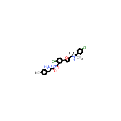 CC(C)(NCc1ccc(-c2ccc(Cl)c(C(=O)NC(=O)[C@H](N)Cc3ccc(C#N)cc3)c2)o1)c1ccc(Cl)cc1